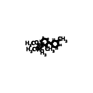 CO[SiH](OC)C1(C)CCCC(C2CCCC(C)C2)C1C